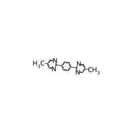 Cc1cnc(-c2ccc(-c3ncc(C)cn3)cc2)nc1